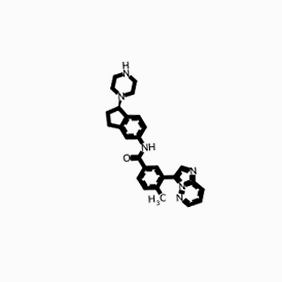 Cc1ccc(C(=O)Nc2ccc3c(c2)CC[C@H]3N2CCNCC2)cc1-c1cnc2cccnn12